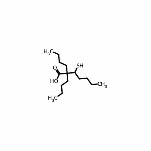 CCCCC(S)C(CCCC)(CCCC)C(=O)O